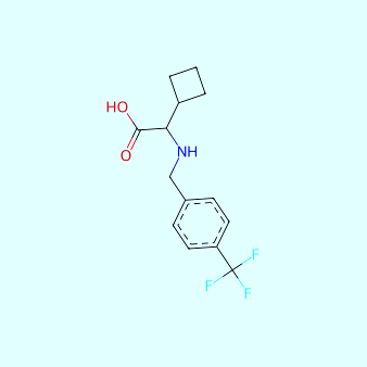 O=C(O)C(NCc1ccc(C(F)(F)F)cc1)C1CCC1